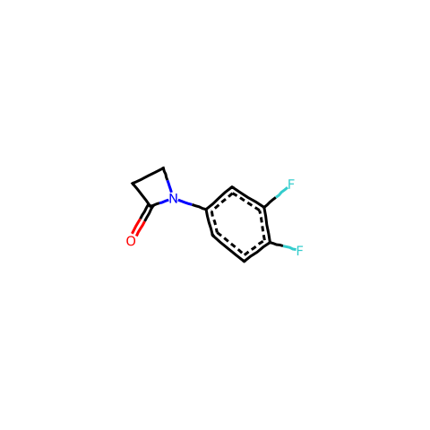 O=C1CCN1c1ccc(F)c(F)c1